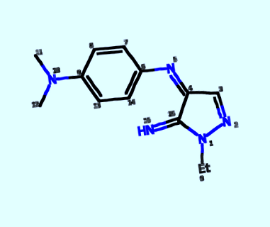 CCN1N=CC(=Nc2ccc(N(C)C)cc2)C1=N